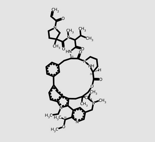 C=CC(=O)N1CCC(C)(C(=O)N(C)C(C(=O)N[C@H]2Cc3cccc(c3)-c3ccc4c(c3)c(c(-c3cc(CN(C)CC)cnc3[C@H](C)OC)n4CC)CC(C)(C)COC(=O)[C@@H]3CCCN(N3)C2=O)C(C)C)C1